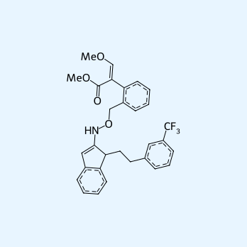 COC=C(C(=O)OC)c1ccccc1CONC1=Cc2ccccc2C1CCc1cccc(C(F)(F)F)c1